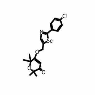 CC1(C)OC(C)(C)C(OCc2cnc(-c3ccc(Cl)cc3)[se]2)=CC1=O